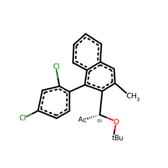 CC(=O)[C@@H](OC(C)(C)C)c1c(C)cc2ccccc2c1-c1ccc(Cl)cc1Cl